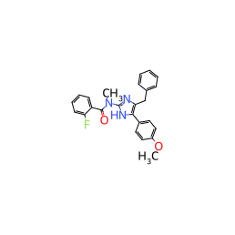 COc1ccc(-c2[nH]c(N(C)C(=O)c3ccccc3F)nc2Cc2ccccc2)cc1